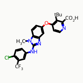 Cn1c(Nc2ccc(Cl)c(C(F)(F)F)c2)nc2cc(Oc3ccnc(C(=O)O)c3C(C)(C)C)ccc21